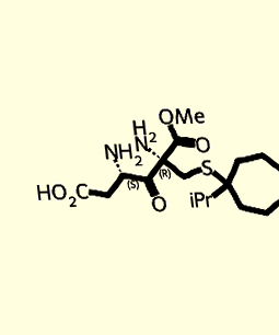 COC(=O)[C@@](N)(CSC1(C(C)C)CCCCCC1)C(=O)[C@@H](N)CC(=O)O